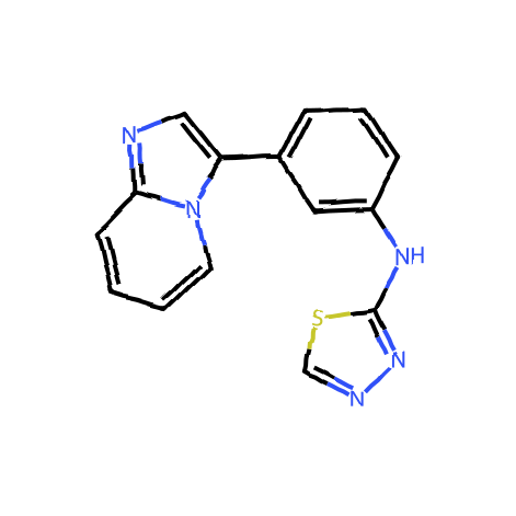 c1cc(Nc2nncs2)cc(-c2cnc3ccccn23)c1